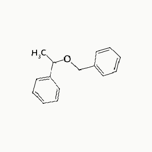 C[C](OCc1ccccc1)c1ccccc1